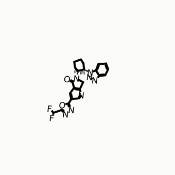 O=C1c2cc(-c3nnc(C(F)F)o3)cnc2CN1[C@@H]1CCCC[C@H]1n1nnc2ccccc21